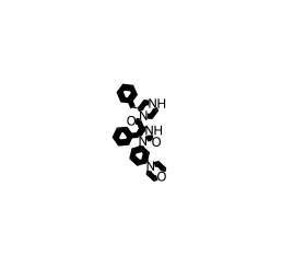 O=C(c1[nH]c(=O)n(-c2cccc(N3CCOCC3)c2)c1-c1ccccc1)N1CCNC[C@H]1Cc1ccccc1